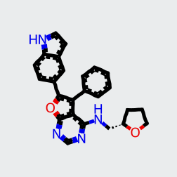 c1ccc(-c2c(-c3ccc4[nH]ccc4c3)oc3ncnc(NC[C@@H]4CCCO4)c23)cc1